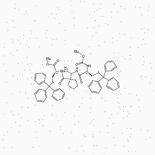 CC(NC(=O)[C@H](CSC(c1ccccc1)(c1ccccc1)c1ccccc1)NC(=O)OC(C)(C)C)C1(C(=O)N[C@@H](CSC(c2ccccc2)(c2ccccc2)c2ccccc2)C(=O)OC(C)(C)C)CCCC1